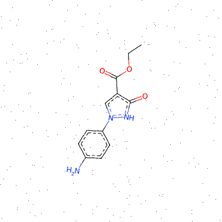 CCOC(=O)c1cn(-c2ccc(N)cc2)[nH]c1=O